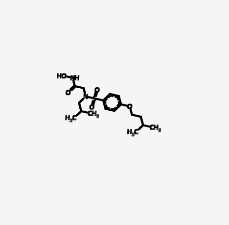 CC(C)CCOc1ccc(S(=O)(=O)N(CC(=O)NO)CC(C)C)cc1